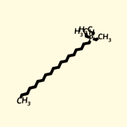 CCCCCCCCCCCCCCCCCCC[PH](CC)(CC)CC